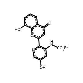 CCOC(=O)Nc1cc(O)cnc1-c1cc(=O)c2cccc(O)c2o1